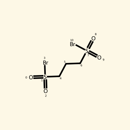 O=S(=O)(Br)CCCS(=O)(=O)Br